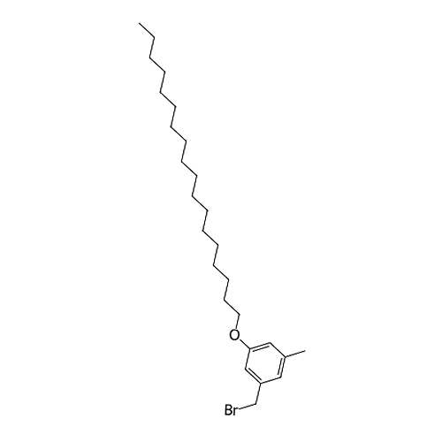 CCCCCCCCCCCCCCCCCCOc1cc(C)cc(CBr)c1